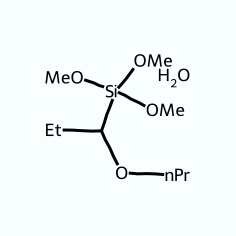 CCCOC(CC)[Si](OC)(OC)OC.O